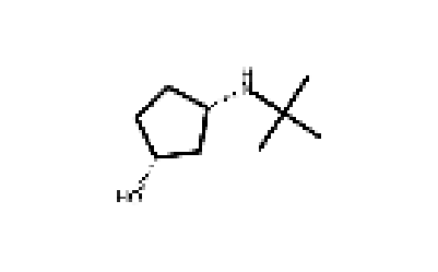 CC(C)(C)N[C@H]1CC[C@@H](O)C1